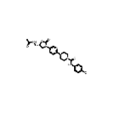 CC(=O)NC[C@H]1CN(c2ccc(N3CCN(C(=O)Nc4ccc(Cl)cc4)CC3)nc2)C(=O)O1